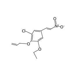 C=CCOc1c(Cl)cc(C=C[N+](=O)[O-])cc1OCC